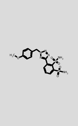 COc1ccc(Cn2nnc(-c3cccc(S(N)(=O)=O)c3S(N)(=O)=O)n2)cc1